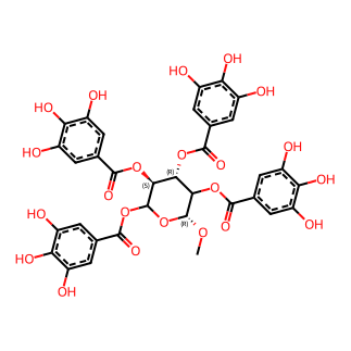 CO[C@@H]1OC(OC(=O)c2cc(O)c(O)c(O)c2)[C@@H](OC(=O)c2cc(O)c(O)c(O)c2)[C@H](OC(=O)c2cc(O)c(O)c(O)c2)C1OC(=O)c1cc(O)c(O)c(O)c1